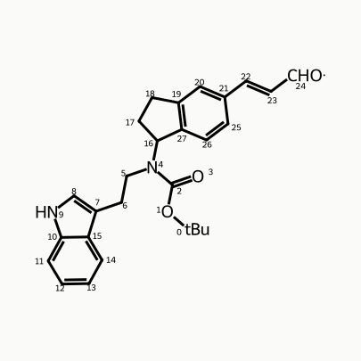 CC(C)(C)OC(=O)N(CCc1c[nH]c2ccccc12)C1CCc2cc(/C=C/[C]=O)ccc21